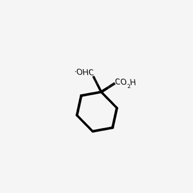 O=[C]C1(C(=O)O)CCCCC1